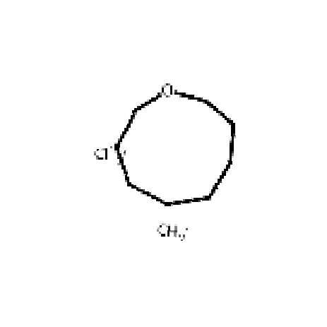 [CH2].[CH2].[CH]1CCCCCCOC1